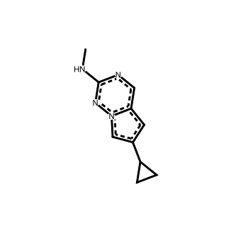 CNc1ncc2cc(C3CC3)cn2n1